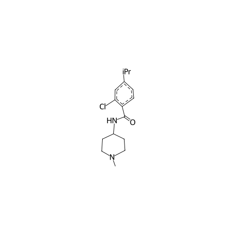 CC(C)c1ccc(C(=O)NC2CCN(C)CC2)c(Cl)c1